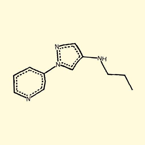 CCCNc1cnn(-c2cccnc2)c1